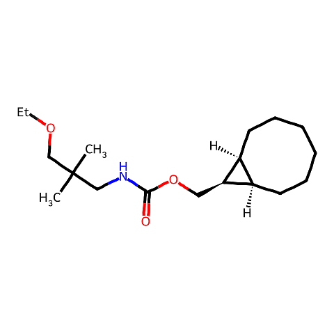 CCOCC(C)(C)CNC(=O)OC[C@@H]1[C@@H]2CCCCCC[C@@H]21